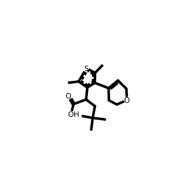 Cc1sc(C)c(C(CC(C)(C)C)C(=O)O)c1C1=CCOCC1